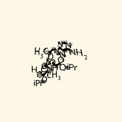 CC(C)OC(=O)COP(=O)(CO[C@@H](C)Cn1cnc2c(N)ncnc21)NC(C)(C)C(=O)OC(C)C